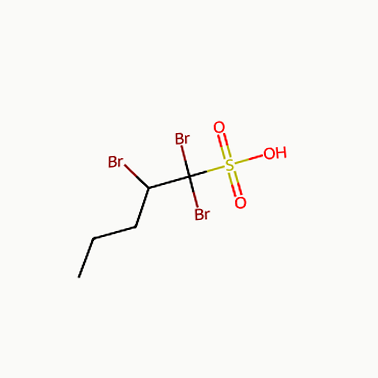 CCCC(Br)C(Br)(Br)S(=O)(=O)O